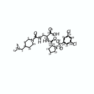 CN(C)CC1CCN(C(=O)NCC(NC(=O)[C@@H]2CCCN2S(=O)(=O)c2cc(Cl)cc(Cl)c2)C(=O)O)CC1